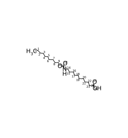 CCCCCCCCCCOC(=O)NCCCCCCCCCCC(=O)O